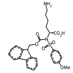 COc1ccc(S(=O)(=O)N(C(=O)OCC2c3ccccc3-c3ccccc32)[C@@H](CCCCN)C(=O)O)cc1